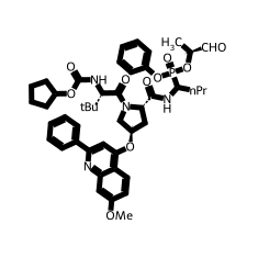 CCCC(NC(=O)[C@@H]1C[C@@H](Oc2cc(-c3ccccc3)nc3cc(OC)ccc23)CN1C(=O)[C@@H](NC(=O)OC1CCCC1)C(C)(C)C)P(=O)(Oc1ccccc1)O[C@@H](C)C=O